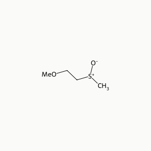 COCC[S+](C)[O-]